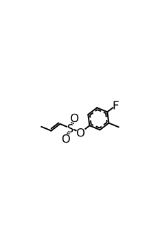 C/C=C/S(=O)(=O)Oc1ccc(F)c(C)c1